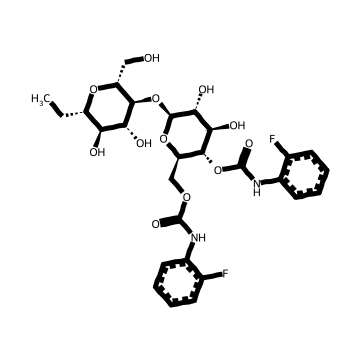 CC[C@@H]1O[C@H](CO)[C@@H](O[C@@H]2O[C@H](COC(=O)Nc3ccccc3F)[C@@H](OC(=O)Nc3ccccc3F)[C@H](O)[C@H]2O)[C@H](O)[C@H]1O